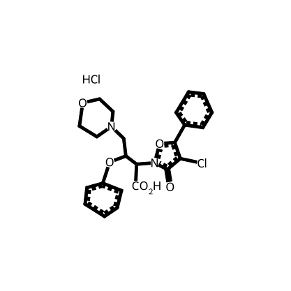 Cl.O=C(O)C(C(CN1CCOCC1)Oc1ccccc1)n1oc(-c2ccccc2)c(Cl)c1=O